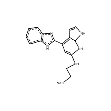 COCCNC1=CC(c2nc3ccccc3[nH]2)=C2C=CNC2N1